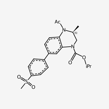 CC(=O)N1c2ccc(-c3ccc(S(C)(=O)=O)cc3)cc2N(C(=O)OC(C)C)C[C@@H]1C